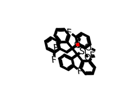 CO[Si](OC)(OC)C(c1ccccc1F)(c1ccccc1F)C(Cc1ccccc1F)(c1ccccc1F)c1ccccc1F